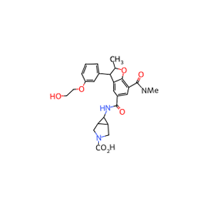 CNC(=O)c1cc(C(=O)NC2C3CN(C(=O)O)CC32)cc2c1OC(C)C2c1cccc(OCCO)c1